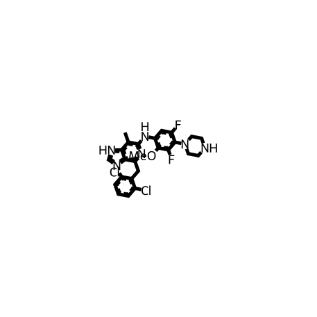 COc1c(Nc2nc(Cc3c(Cl)cccc3Cl)c3nc[nH]c3c2C)cc(F)c(N2CCNCC2)c1F